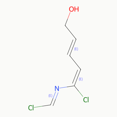 OC/C=C/C=C(Cl)\N=C\Cl